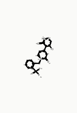 O=c1[nH]ncc(Cl)c1-c1ccn(Cc2ccccc2C(F)(F)F)c(=O)c1